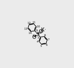 O=S(=O)(c1ccccc1)c1ccccc1.[K]